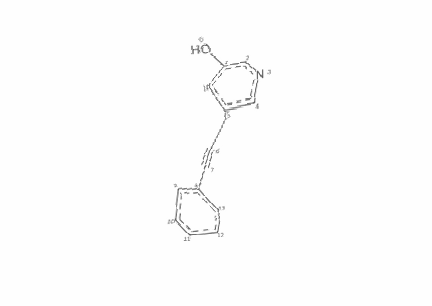 Oc1cncc(C#Cc2ccccc2)c1